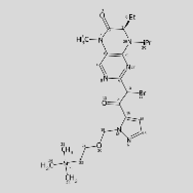 CC[C@@H]1C(=O)N(C)c2cnc(C(Br)C(=O)c3ccnn3COCC[Si](C)(C)C)nc2N1C(C)C